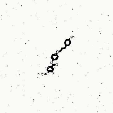 CCCCCCOc1ccc(C(=O)Oc2ccc(OCCCC3CCC(CCC)CC3)cc2)cc1F